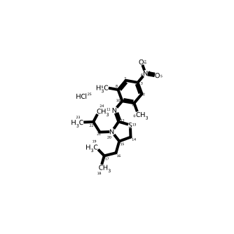 Cc1cc([N+](=O)[O-])cc(C)c1N=C1SCC(CC(C)C)N1CC(C)C.Cl